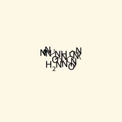 Cc1cnc2ccc(-c3nc(C(=O)N[C@H](C)Cn4cncn4)c(N)nc3-c3ncco3)cn12